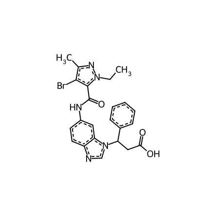 CCn1nc(C)c(Br)c1C(=O)Nc1ccc2ncn(C(CC(=O)O)c3ccccc3)c2c1